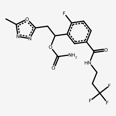 Cc1nnc(CC(OC(N)=O)c2cc(C(=O)NCCC(F)(F)F)ccc2F)o1